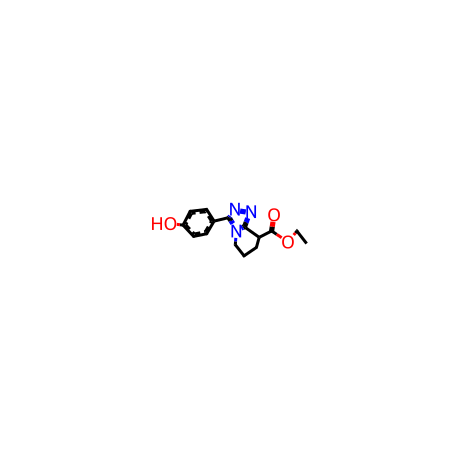 CCOC(=O)C1CCCn2c(-c3ccc(O)cc3)nnc21